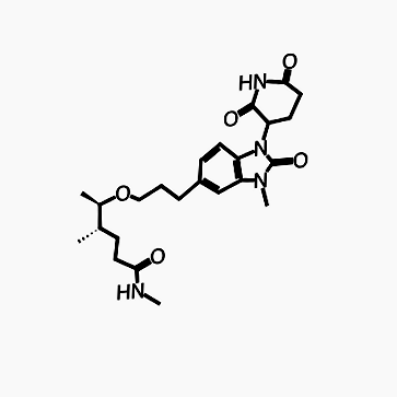 CNC(=O)CC[C@H](C)[C@@H](C)OCCCc1ccc2c(c1)n(C)c(=O)n2C1CCC(=O)NC1=O